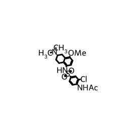 COc1ccc(NS(=O)(=O)c2ccc(NC(C)=O)c(Cl)c2)c2c1C[C@@H](N(C)C)CC2